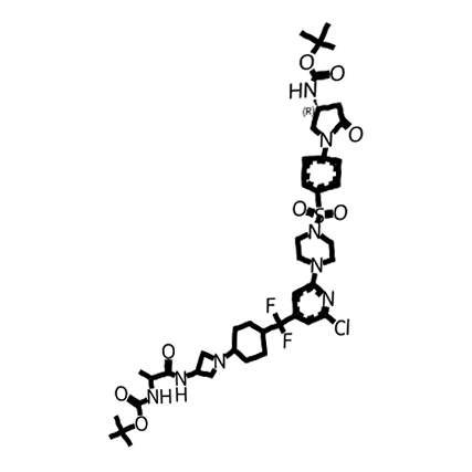 CC(NC(=O)OC(C)(C)C)C(=O)NC1CN(C2CCC(C(F)(F)c3cc(Cl)nc(N4CCN(S(=O)(=O)c5ccc(N6C[C@H](NC(=O)OC(C)(C)C)CC6=O)cc5)CC4)c3)CC2)C1